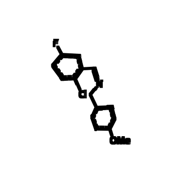 COc1ccc(C/N=C\c2cc(F)ccc2Cl)cc1